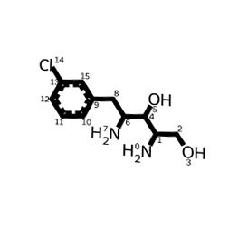 NC(CO)C(O)C(N)Cc1cccc(Cl)c1